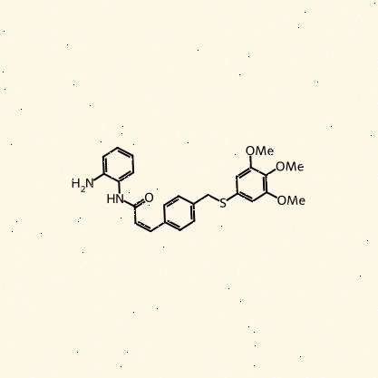 COc1cc(SCc2ccc(/C=C\C(=O)Nc3ccccc3N)cc2)cc(OC)c1OC